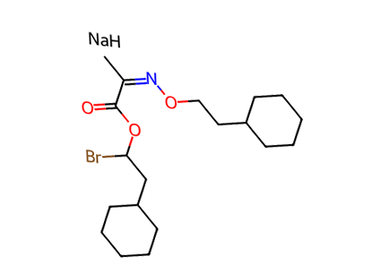 CC(=NOCCC1CCCCC1)C(=O)OC(Br)CC1CCCCC1.[NaH]